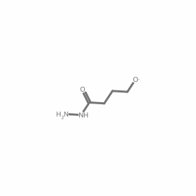 NNC(=O)CCC[O]